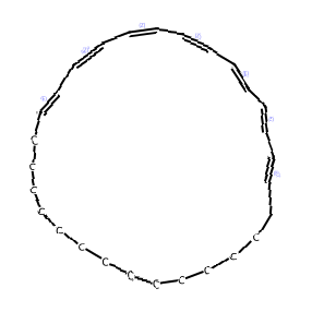 [C]1=C/C=C\C=C/C=C\C=C\C=C\C=C\CCCCCCCCCCCCCC/1